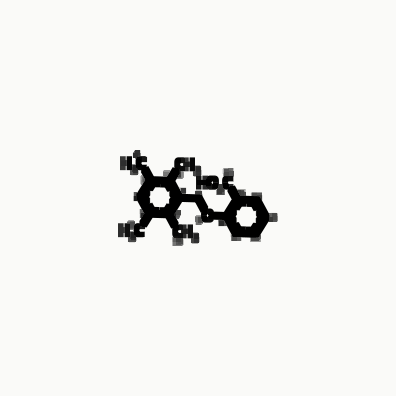 Cc1cc(C)c(C)c(COc2ccccc2C(=O)O)c1C